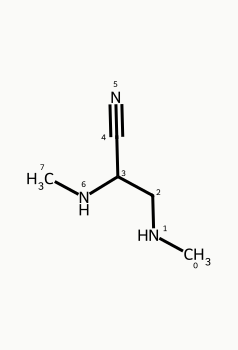 CNCC(C#N)NC